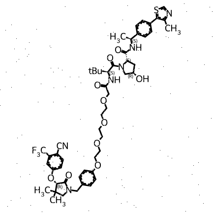 Cc1ncsc1-c1ccc([C@H](C)NC(=O)[C@@H]2C[C@@H](O)CN2C(=O)[C@@H](NC(=O)COCCOCCOCCOc2ccc(CN3CC(C)(C)[C@@H](Oc4ccc(C#N)c(C(F)(F)F)c4)C3=O)cc2)C(C)(C)C)cc1